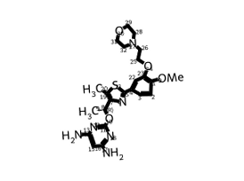 COc1ccc(-c2nc([C@@H](C)Oc3nc(N)cc(N)n3)c(C)s2)cc1OCCN1CCOCC1